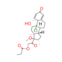 CCC(=O)OCC(=O)[C@@]1(OC)[C@@H](C)C[C@H]2[C@@H]3CCC4=CC(=O)C=C[C@]4(C)[C@@]3(Cl)[C@@H](O)C[C@@]21C